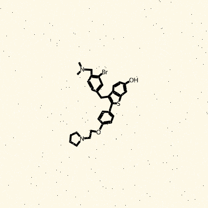 CN(C)Cc1ccc(Cc2c(-c3ccc(OCCN4CCCC4)cc3)sc3cc(O)ccc23)cc1Br